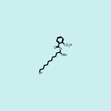 CCCCC(CCCCCCCCCC(C)C)OC(=O)c1ccccc1C(=O)O